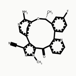 C[C@H]1Oc2cc(cnc2N)-c2c(C#N)nn(C)c2C(=O)c2cccnc2-c2ccc(F)cc21